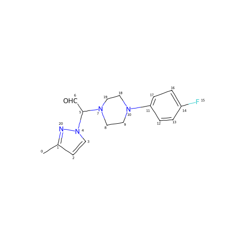 Cc1ccn(C(C=O)N2CCN(c3ccc(F)cc3)CC2)n1